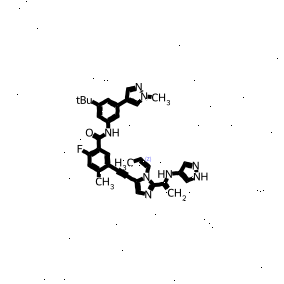 C=C(Nc1cn[nH]c1)c1ncc(C#Cc2cc(C(=O)Nc3cc(-c4cnn(C)c4)cc(C(C)(C)C)c3)c(F)cc2C)n1/C=C\C